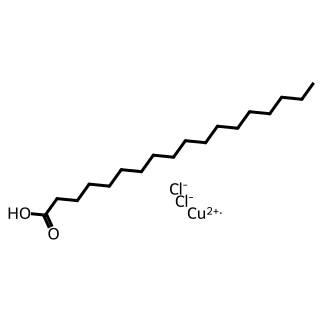 CCCCCCCCCCCCCCCCCC(=O)O.[Cl-].[Cl-].[Cu+2]